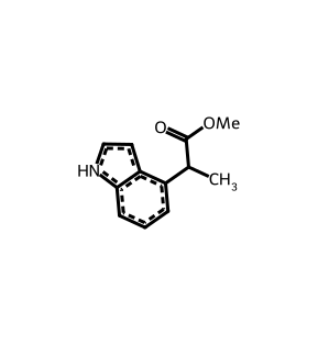 COC(=O)C(C)c1cccc2[nH]ccc12